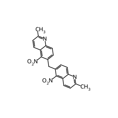 Cc1ccc2c([N+](=O)[O-])c(Cc3ccc4nc(C)ccc4c3[N+](=O)[O-])ccc2n1